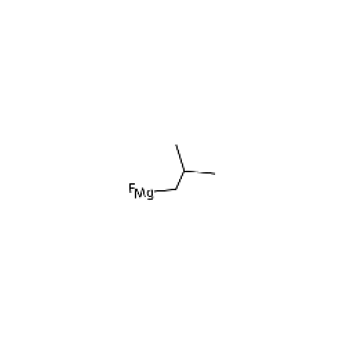 CC(C)[CH2][Mg][F]